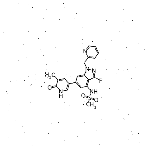 Cc1cc(-c2cc(NS(C)(=O)=O)c3c(F)nn(Cc4ccccn4)c3c2)c[nH]c1=O